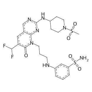 CS(=O)(=O)N1CCC(Nc2ncc3cc(C(F)F)c(=O)n(CCCNc4cccc(S(N)(=O)=O)c4)c3n2)CC1